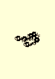 Fc1ccc(OCCN2CCOCC2)cc1-c1nccc2cnc(Nc3ccc(N4CCOCC4)nc3)nc12